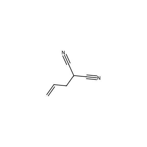 C=CC[C](C#N)C#N